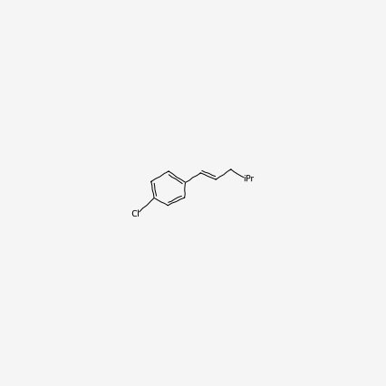 CC(C)CC=Cc1ccc(Cl)cc1